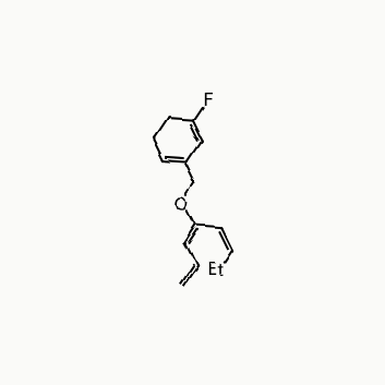 C=C/C=C(\C=C/CC)OCC1=CCCC(F)=C1